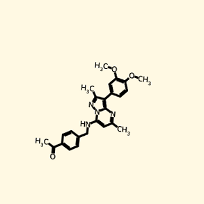 COc1ccc(-c2c(C)nn3c(NCc4ccc(C(C)=O)cc4)cc(C)nc23)cc1OC